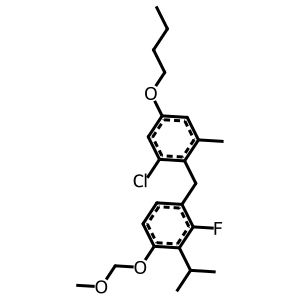 CCCCOc1cc(C)c(Cc2ccc(OCOC)c(C(C)C)c2F)c(Cl)c1